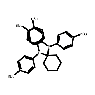 CCCCc1ccc(P(c2ccc(CCCC)cc2)C2(P(c3ccc(CCCC)cc3)c3ccc(CCCC)cc3)CCCCC2)cc1